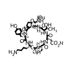 CC(C)C[C@@H]1NC(=O)C[C@H](CCCCN)NC(=O)[C@H](Cc2ccc(O)cc2)NC(=O)[C@@H]2CCCN2[C@H](C(=O)NC(C)(C)C)NC(=O)[C@H]([C@@H](C)O)NC(=O)[C@H](CC(=O)O)NC1=O